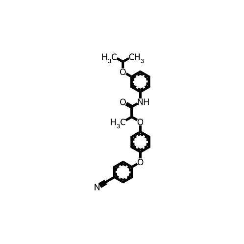 CC(C)Oc1cccc(NC(=O)C(C)Oc2ccc(Oc3ccc(C#N)cc3)cc2)c1